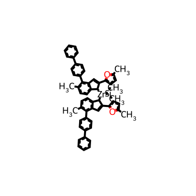 Cc1ccc(C2=Cc3c(ccc(C)c3-c3ccc(-c4ccccc4)cc3)[CH]2[Zr]([CH]2C(c3ccc(C)o3)=Cc3c2ccc(C)c3-c2ccc(-c3ccccc3)cc2)=[Si](C)C)o1